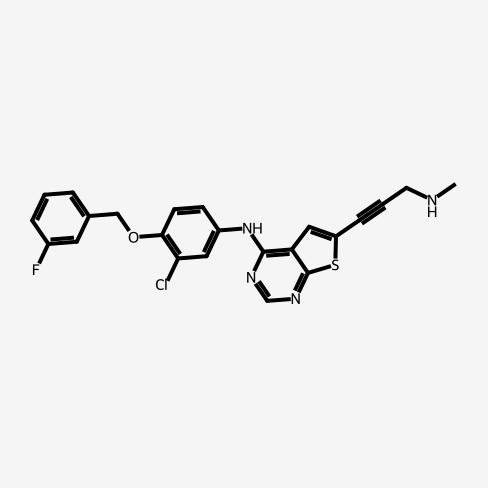 CNCC#Cc1cc2c(Nc3ccc(OCc4cccc(F)c4)c(Cl)c3)ncnc2s1